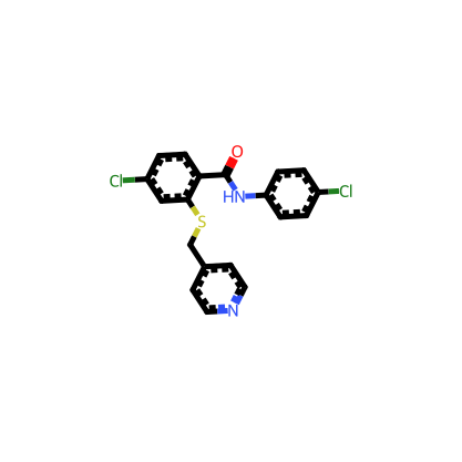 O=C(Nc1ccc(Cl)cc1)c1ccc(Cl)cc1SCc1ccncc1